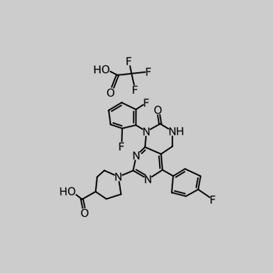 O=C(O)C(F)(F)F.O=C(O)C1CCN(c2nc(-c3ccc(F)cc3)c3c(n2)N(c2c(F)cccc2F)C(=O)NC3)CC1